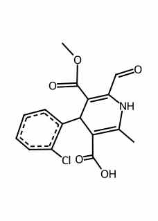 COC(=O)C1=C(C=O)NC(C)=C(C(=O)O)C1c1ccccc1Cl